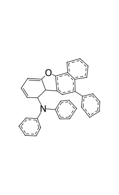 C1=CC(N(c2ccccc2)c2ccccc2)C2C(=C1)Oc1c2cc(-c2ccccc2)c2ccccc12